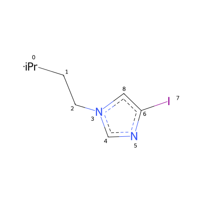 C[C](C)CCn1cnc(I)c1